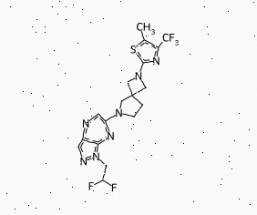 Cc1sc(N2CC3(CCN(c4cnc5cnn(CC(F)F)c5n4)C3)C2)nc1C(F)(F)F